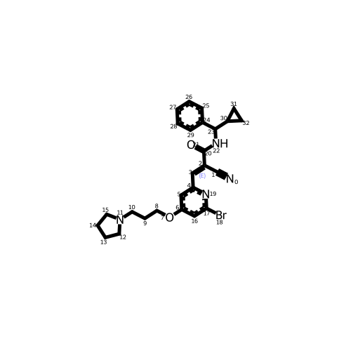 N#C/C(=C\c1cc(OCCCN2CCCC2)cc(Br)n1)C(=O)NC(c1ccccc1)C1CC1